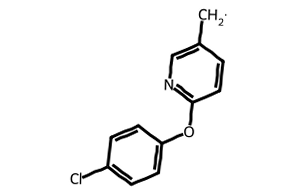 [CH2]c1ccc(Oc2ccc(Cl)cc2)nc1